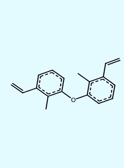 C=Cc1cccc(Oc2cccc(C=C)c2C)c1C